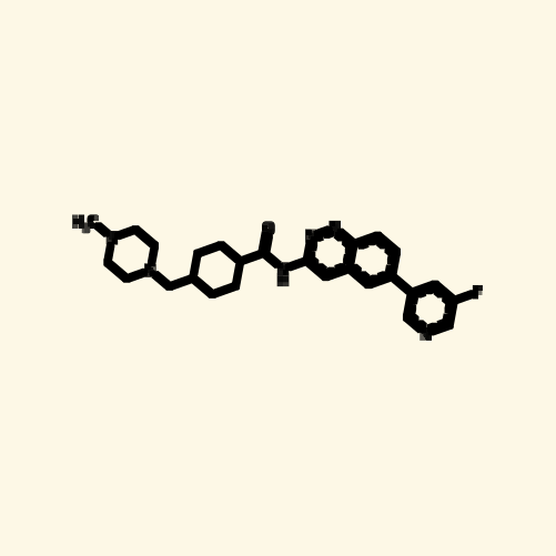 CN1CCN(CC2CCC(C(=O)Nc3cc4cc(-c5cncc(F)c5)ccc4nn3)CC2)CC1